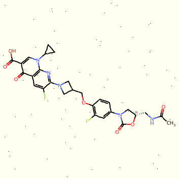 CC(=O)NC[C@H]1CN(c2ccc(OCC3CN(c4nc5c(cc4F)c(=O)c(C(=O)O)cn5C4CC4)C3)c(F)c2)C(=O)O1